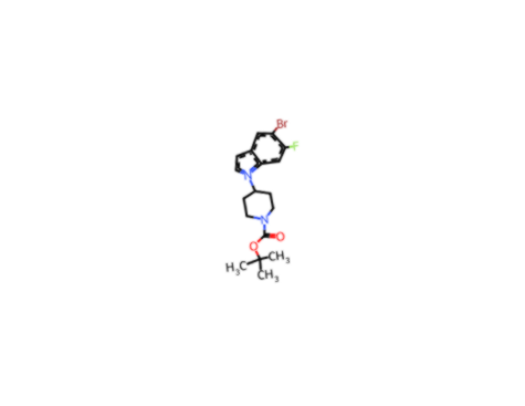 CC(C)(C)OC(=O)N1CCC(n2ccc3cc(Br)c(F)cc32)CC1